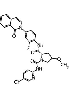 CO[C@@H]1C[C@H](C(=O)Nc2ccc(-n3ccc4ccccc4c3=O)cc2F)N(C(=O)Nc2ccc(Cl)cn2)C1